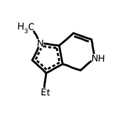 CCc1cn(C)c2c1CNC=C2